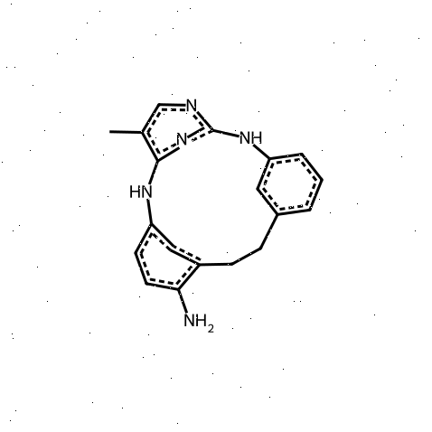 Cc1cnc2nc1Nc1ccc(N)c(c1)CCc1cccc(c1)N2